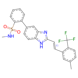 CNS(=O)(=O)c1ccccc1-c1ccc2[nH]c(/C=C/c3cc(C)ccc3C(F)(F)F)nc2c1